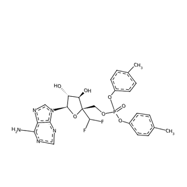 Cc1ccc(OP(=O)(OC[C@@]2(C(F)F)O[C@@H](n3cnc4c(N)ncnc43)[C@H](O)[C@H]2O)Oc2ccc(C)cc2)cc1